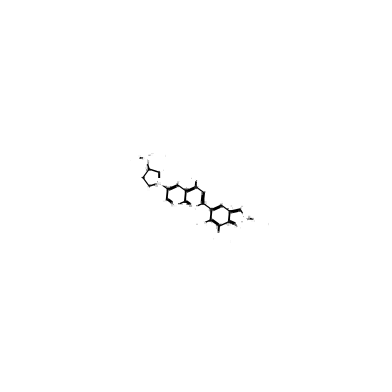 Cc1c(O)c(-c2cc(Cl)c3cc(N4CCC(N(C)C)C4)cnc3n2)cc2cn(C)nc12